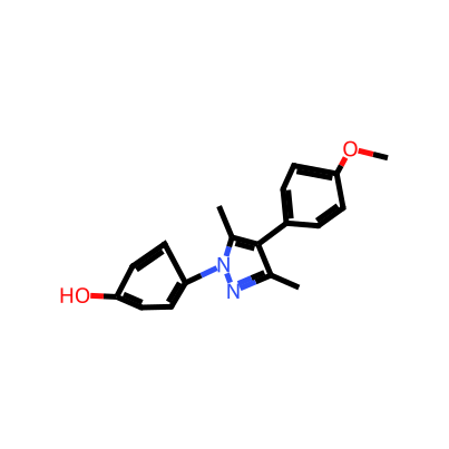 COc1ccc(-c2c(C)nn(-c3ccc(O)cc3)c2C)cc1